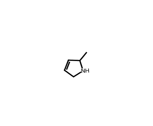 CC1C=CCN1